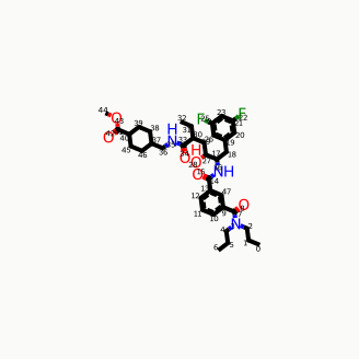 CCCN(CCC)C(=O)c1cccc(C(=O)NC(Cc2cc(F)cc(F)c2)C(O)CC(CC)C(=O)NCC2CCC(C(=O)OC)CC2)c1